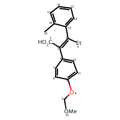 CC/C(=C(/C(=O)O)c1ccc(OCOC)cc1)c1ccccc1C